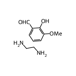 COc1cccc(C=O)c1O.NCCN